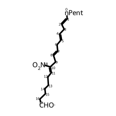 CCCCC/C=C/C/C=C/C/C=C/C/C(=C/CCCCC[C]=O)[N+](=O)[O-]